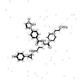 COCCN1CCN(C(=O)[C@H](CCCN[C@@H]2C[C@H]2c2ccc(F)cc2)NC(=O)c2ccc(N3C=CNN3)cc2)CC1